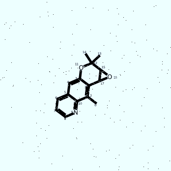 Cc1c2c(cc3cccnc13)OC(C)(C)C1OC21